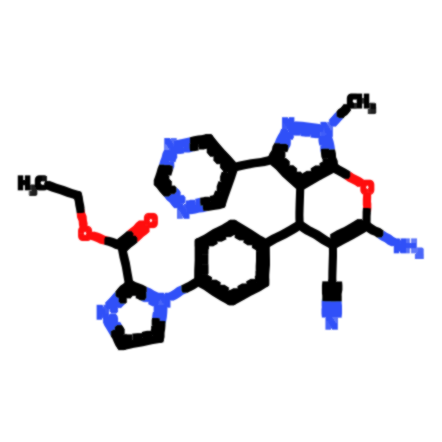 CCOC(=O)c1nccn1-c1ccc(C2C(C#N)=C(N)Oc3c2c(-c2cncnc2)nn3C)cc1